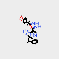 COc1ccc(C(C)(C)C(=N)OC(=N)c2cnn(C(C)(C)CC(C)c3ccccc3)c2N)cc1